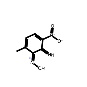 CC1=CC=C([N+](=O)[O-])C(=N)/C1=N\O